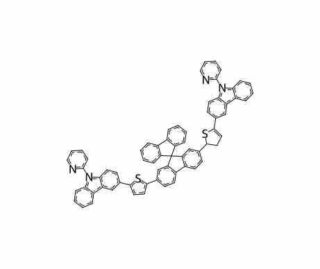 C1=C(c2ccc3c(c2)c2ccccc2n3-c2ccccn2)SC(c2ccc3c(c2)C2(c4ccccc4-c4ccccc42)c2cc(-c4ccc(-c5ccc6c(c5)c5ccccc5n6-c5ccccn5)s4)ccc2-3)C1